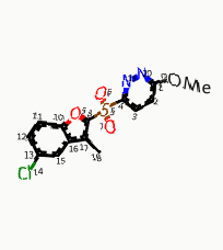 COc1ccc(S(=O)(=O)c2oc3ccc(Cl)cc3c2C)nn1